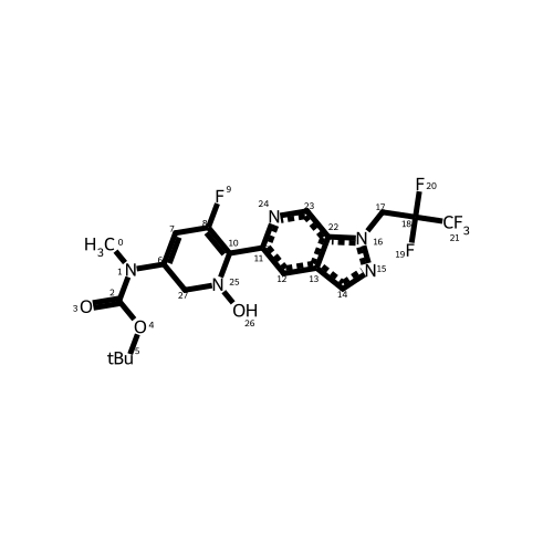 CN(C(=O)OC(C)(C)C)C1=CC(F)=C(c2cc3cnn(CC(F)(F)C(F)(F)F)c3cn2)N(O)C1